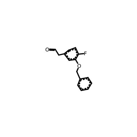 O=CCc1ccc(F)c(OCc2ccccc2)c1